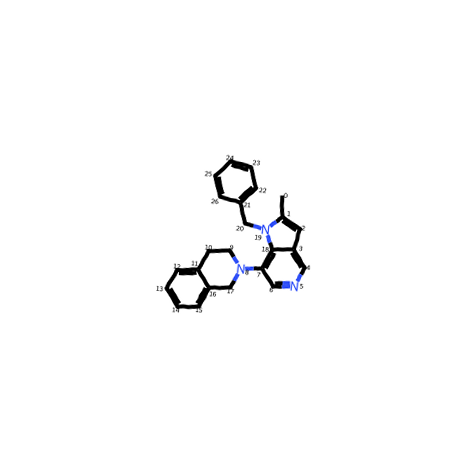 Cc1cc2cncc(N3CCc4ccccc4C3)c2n1Cc1ccccc1